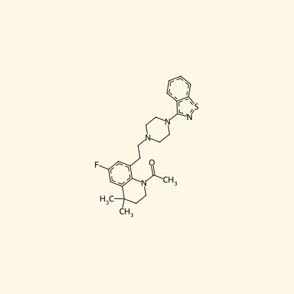 CC(=O)N1CCC(C)(C)c2cc(F)cc(CCN3CCN(c4nsc5ccccc45)CC3)c21